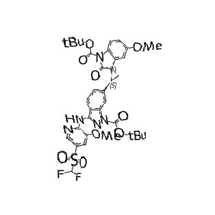 COc1ccc2c(c1)[C@]1(C[C@H]1c1ccc3c(Nc4ncc(S(=O)(=O)C(F)F)cc4OC)nn(C(=O)OC(C)(C)C)c3c1)C(=O)N2C(=O)OC(C)(C)C